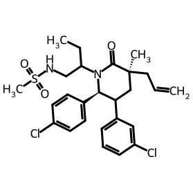 C=CC[C@@]1(C)CC(c2cccc(Cl)c2)[C@@H](c2ccc(Cl)cc2)N(C(CC)CNS(C)(=O)=O)C1=O